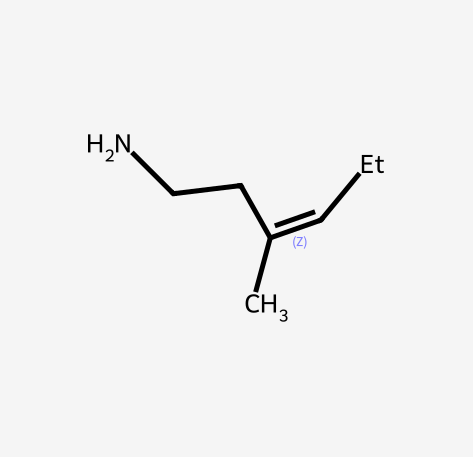 CC/C=C(/C)CCN